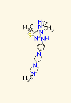 Cc1csc2nc(Nc3ccc(N4CCC(N5CCN(C)CC5)CC4)cc3)nc(NC3(C)CC3)c12